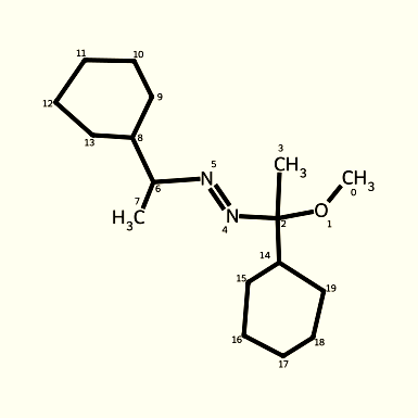 COC(C)(N=NC(C)C1CCCCC1)C1CCCCC1